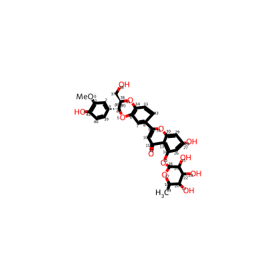 COc1cc([C@H]2Oc3cc(-c4cc(=O)c5c(OC6OC(C)C(O)C(O)C6O)cc(O)cc5o4)ccc3O[C@@H]2CO)ccc1O